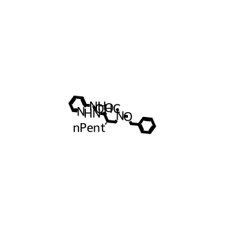 CCCCC[C@@H](CN(C=O)OCc1ccccc1)C(=O)NNc1ccccn1